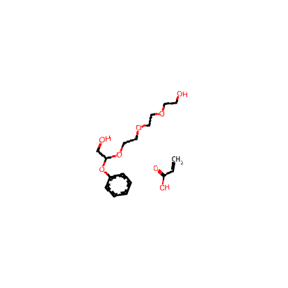 C=CC(=O)O.OCCOCCOCCOC(CO)Oc1ccccc1